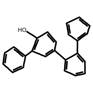 Oc1ccc(-c2ccccc2-c2ccccc2)cc1-c1ccccc1